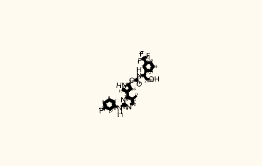 Cc1cnc(Nc2cccc(F)c2)nc1-c1c[nH]c(OC(=O)NC(CO)c2cccc(C(F)(F)F)c2)c1